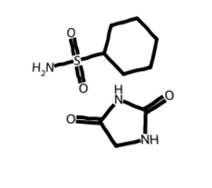 NS(=O)(=O)C1CCCCC1.O=C1CNC(=O)N1